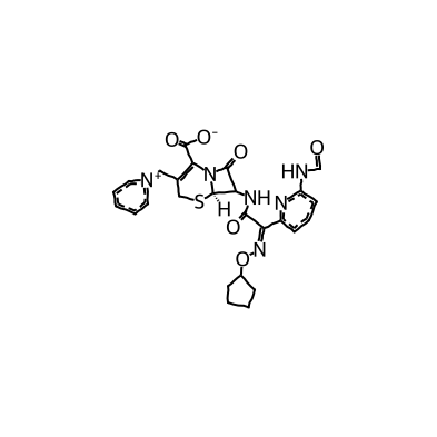 O=CNc1cccc(/C(=N/OC2CCCC2)C(=O)NC2C(=O)N3C(C(=O)[O-])=C(C[n+]4ccccc4)CS[C@H]23)n1